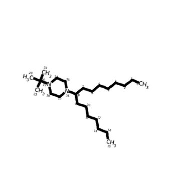 CCCCCCCCC(CCCCCCC)N1CCN(C(C)(C)C)CC1